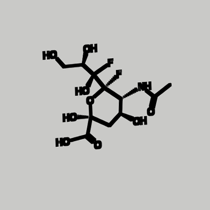 CC(=O)N[C@@H]1[C@@H](O)C[C@@](O)(C(=O)O)O[C@@]1(F)[C@@](O)(F)[C@H](O)CO